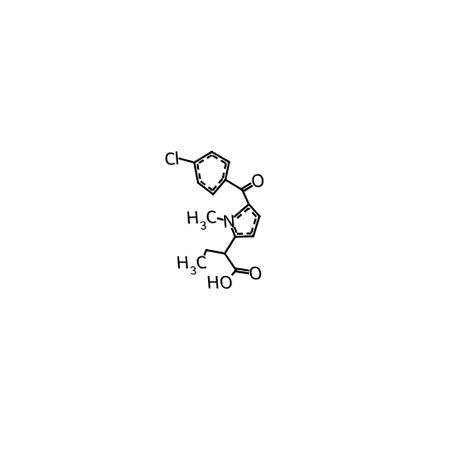 CCC(C(=O)O)c1ccc(C(=O)c2ccc(Cl)cc2)n1C